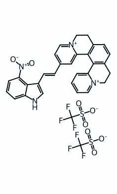 O=S(=O)([O-])C(F)(F)F.O=S(=O)([O-])C(F)(F)F.O=[N+]([O-])c1cccc2[nH]cc(/C=C/c3cc[n+]4c(c3)-c3c(ccc5c3-c3cccc[n+]3CC5)CC4)c12